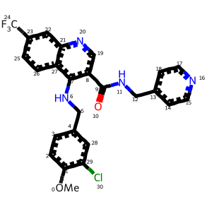 COc1ccc(CNc2c(C(=O)NCc3ccncc3)cnc3cc(C(F)(F)F)ccc23)cc1Cl